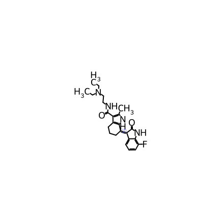 CCN(CC)CCNC(=O)c1c(C)[nH]c2c1CCC/C2=C1/C(=O)Nc2c(F)cccc21